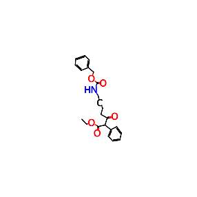 CCOC(=O)C(C(=O)CCCCNC(=O)OCc1ccccc1)c1ccccc1